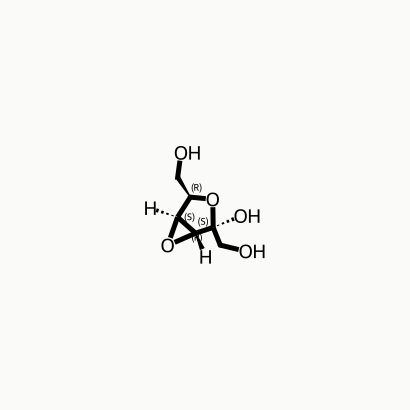 OC[C@H]1O[C@@](O)(CO)[C@@H]2O[C@H]21